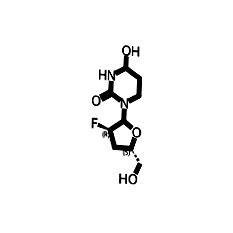 O=C1NC(O)CCN1C1O[C@H](CO)C[C@H]1F